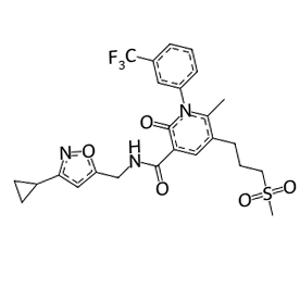 Cc1c(CCCS(C)(=O)=O)cc(C(=O)NCc2cc(C3CC3)no2)c(=O)n1-c1cccc(C(F)(F)F)c1